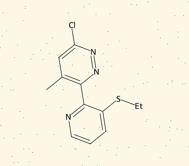 CCSc1cccnc1-c1nnc(Cl)cc1C